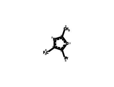 Cc1nc(C(F)(F)F)c(C(C)C)o1